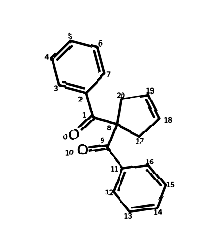 O=C(c1ccccc1)C1(C(=O)c2ccccc2)CC=CC1